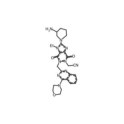 CCn1c(N2CCCC(N)C2)nc2c(=O)n(CC#N)n(Cc3nc(N4CCOCC4)c4ccccc4n3)c(=O)c21